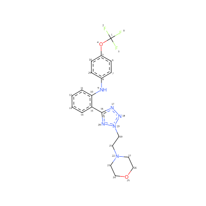 FC(F)(F)Oc1ccc(Nc2ccccc2-c2nnn(CCN3CCOCC3)n2)cc1